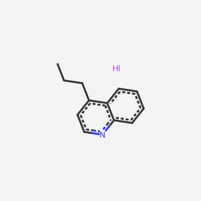 CCCc1ccnc2ccccc12.I